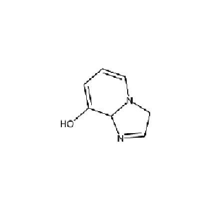 OC1=CC=CN2CC=NC12